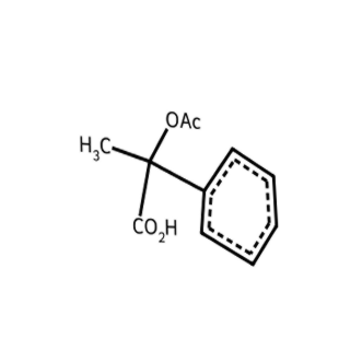 CC(=O)OC(C)(C(=O)O)c1ccccc1